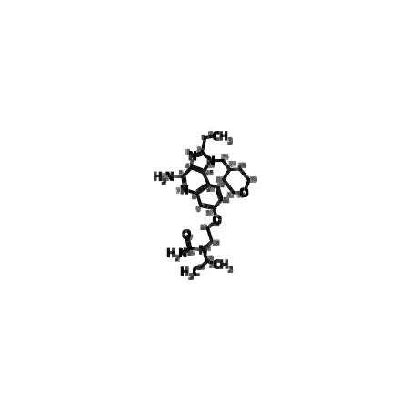 CCc1nc2c(N)nc3cc(OCCN(C(N)=O)C(C)C)ccc3c2n1CC1CCOCC1